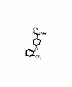 CS/C(=N\C#N)N1CCC(Oc2ccccc2C(F)(F)F)CC1